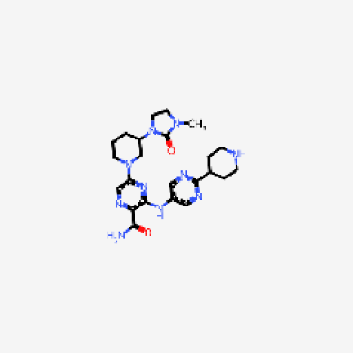 CN1CCN(C2CCCN(c3cnc(C(N)=O)c(Nc4cnc(C5CCNCC5)nc4)n3)C2)C1=O